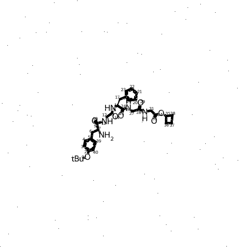 CC(C)(C)Oc1ccc(C[C@H](N)C(=O)NCC(=O)N[C@@H](Cc2ccccc2)C(=O)NCC(=O)NCC(=O)OC2CCC2)cc1